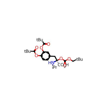 CC(C)N[C@@](Cc1ccc(OC(=O)C(C)(C)C)c(OC(=O)C(C)(C)C)c1)(OC(=O)OCC(C)(C)C)C(=O)O